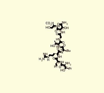 CC[C@H](C)C(NC(=O)[C@@H](CCCNC(=N)N)NC(=O)[C@H](CC(C)C)NC(=O)[C@@H](N)[C@H](O)C(C)C)C(=O)N[C@H](C(=O)NCC(=O)N[C@H](C(=O)N[C@@H](CO)C(=O)O)[C@H](O)C(N)=O)[C@H](C)O